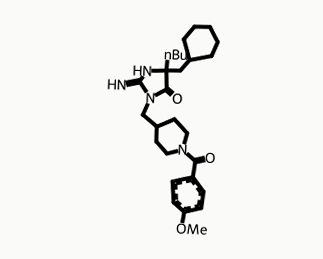 CCCCC1(CC2CCCCC2)NC(=N)N(CC2CCN(C(=O)c3ccc(OC)cc3)CC2)C1=O